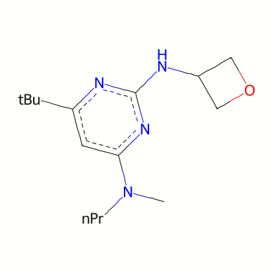 CCCN(C)c1cc(C(C)(C)C)nc(NC2COC2)n1